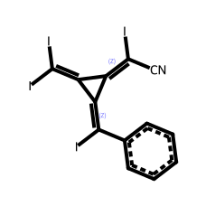 N#C/C(I)=C1/C(=C(I)I)/C1=C(\I)c1ccccc1